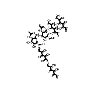 CC(=O)N[C@H]1C(O)O[C@H](CO)[C@H](O)[C@@H]1O.CC(=O)N[C@H]1C(O)O[C@H](CO)[C@H](O)[C@@H]1O.CC(O)C(O)C(O)C(O)C=O.O=CC(O)C(O)C(O)C(O)CO.O=CC(O)C(O)C(O)C(O)CO.O=CC(O)C(O)C(O)C(O)CO